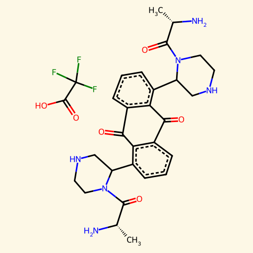 C[C@H](N)C(=O)N1CCNCC1c1cccc2c1C(=O)c1cccc(C3CNCCN3C(=O)[C@H](C)N)c1C2=O.O=C(O)C(F)(F)F